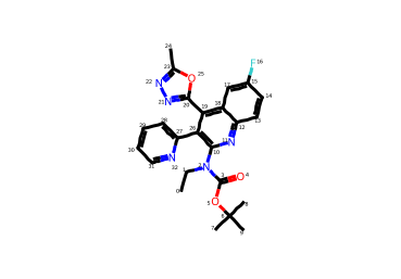 CCN(C(=O)OC(C)(C)C)c1nc2ccc(F)cc2c(-c2nnc(C)o2)c1-c1ccccn1